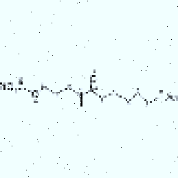 CCCCCCCCCCCCCCCC(=O)NCCCOC(=O)OCC